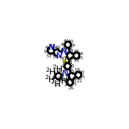 [2H]c1c([2H])c([2H])c(-n2c3cc4sc5c(c4cc3c3c4ccccc4c4ccccc4c32)c2ccccc2c2c3ccccc3n(-c3cc4ncccc4cn3)c52)c([2H])c1[2H]